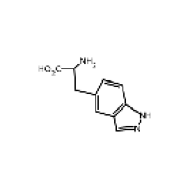 NC(Cc1ccc2[nH]ncc2c1)C(=O)O